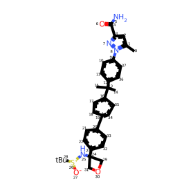 Cc1cc(C(N)=O)nn1-c1ccc(C(C)(C)c2ccc(-c3ccc(C4(N[S+]([O-])C(C)(C)C)COC4)cc3)cc2)cc1